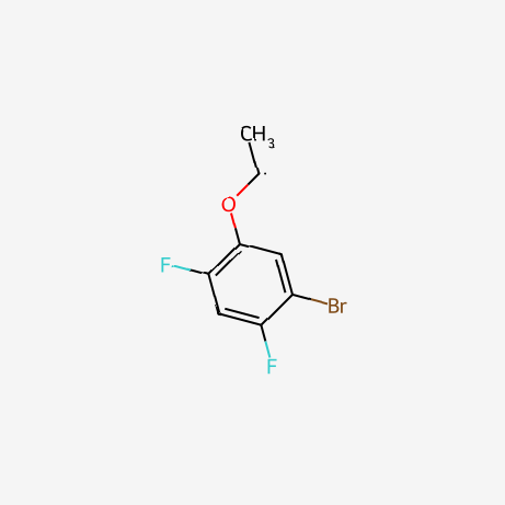 C[CH]Oc1cc(Br)c(F)cc1F